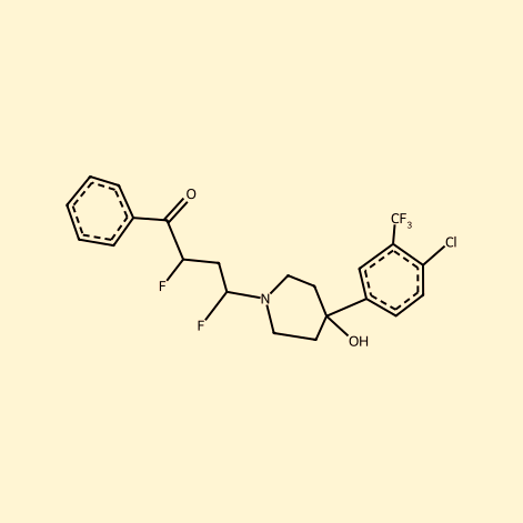 O=C(c1ccccc1)C(F)CC(F)N1CCC(O)(c2ccc(Cl)c(C(F)(F)F)c2)CC1